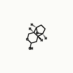 OC1C[C@@H]2[C@@H](CO1)[C@H]1CC[C@@H]2O1